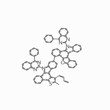 C=C/C=C\c1c(C)sc2c3ccccc3c3c(c4ccc(-c5cccc6c5c5oc7ccccc7c5c5c7ccccc7n(-c7nc(-c8ccccc8)c8ccccc8n7)c65)cc4n3-c3nc(-c4ccccc4)c4ccccc4n3)c12